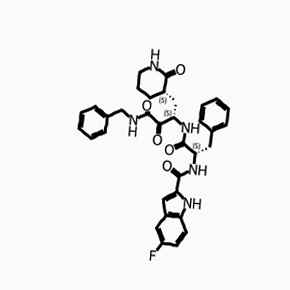 O=C(NCc1ccccc1)C(=O)[C@H](C[C@@H]1CCCNC1=O)NC(=O)[C@H](Cc1ccccc1)NC(=O)c1cc2cc(F)ccc2[nH]1